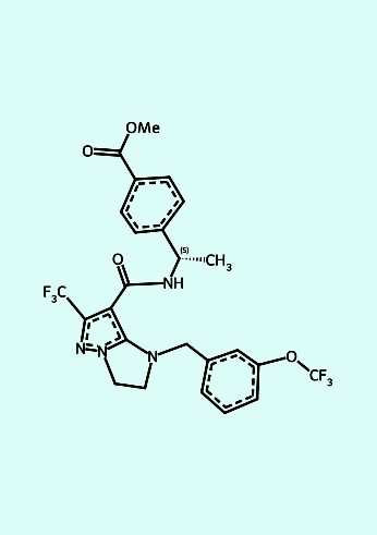 COC(=O)c1ccc([C@H](C)NC(=O)c2c(C(F)(F)F)nn3c2N(Cc2cccc(OC(F)(F)F)c2)CC3)cc1